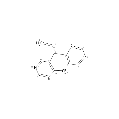 C=C[C@H](c1ccccc1)c1cnccc1C(F)(F)F